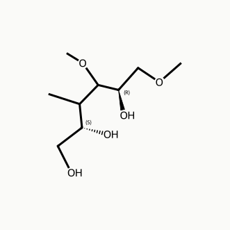 COC[C@@H](O)C(OC)C(C)[C@H](O)CO